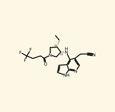 CC[C@H]1CN(C(=O)CCC(F)(F)F)C[C@H]1Nc1c(CC#N)cnc2[nH]ccc12